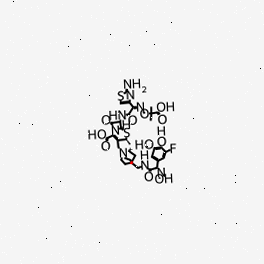 C[C@@H]1S[C@@H]2[C@H](NC(=O)/C(=N\OC(C)(C)C(=O)O)c3csc(N)n3)C(=O)N2C(C(=O)O)=C1C[N+]12CCC(CNC(=O)/C(=N\O)c3cc(O)c(O)c(F)c3)(CC1)CC2